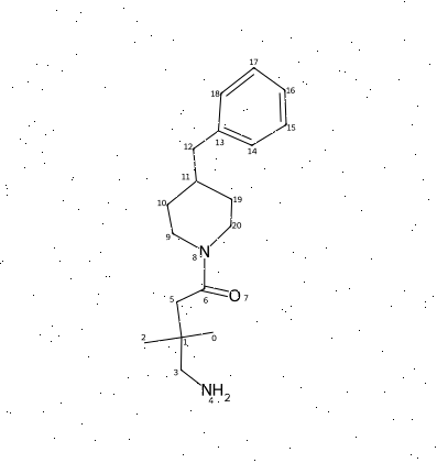 CC(C)(CN)CC(=O)N1CCC(Cc2ccccc2)CC1